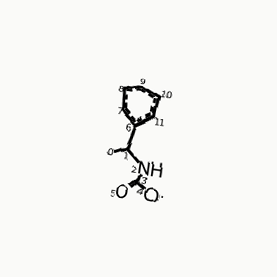 CC(NC([O])=O)c1ccccc1